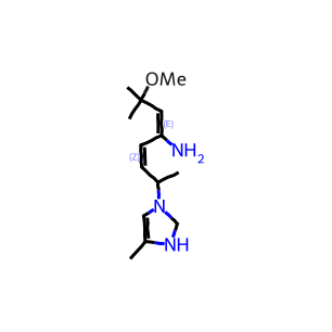 COC(C)(C)/C=C(N)\C=C/C(C)N1C=C(C)NC1